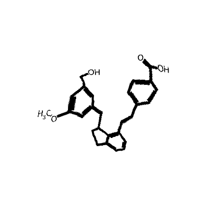 COc1cc(CO)cc(CC2CCc3cccc(CCc4ccc(C(=O)O)cc4)c32)c1